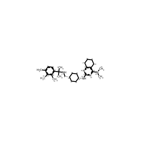 Cc1ccc(C(C)(C)NC[C@H]2CC[C@@H](Nc3nc4c(c(N(C)C)n3)CCCC4)CC2)c(C)c1C